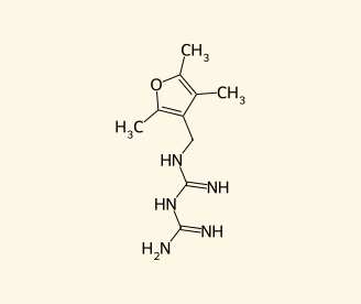 Cc1oc(C)c(CNC(=N)NC(=N)N)c1C